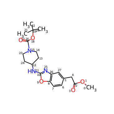 COC(=O)Cc1ccc2oc(NC3CCN(C(=O)OC(C)(C)C)CC3)nc2c1